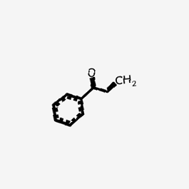 C=CC(=O)c1ccccc1